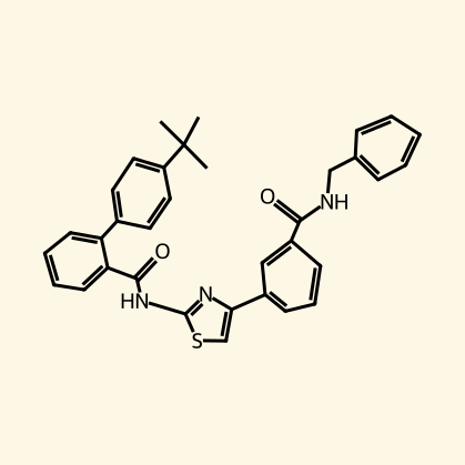 CC(C)(C)c1ccc(-c2ccccc2C(=O)Nc2nc(-c3cccc(C(=O)NCc4ccccc4)c3)cs2)cc1